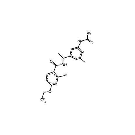 Cc1cc(C(C)NC(=O)c2ccc(OCC(F)(F)F)cc2F)cc(NC(=O)C(C)C)n1